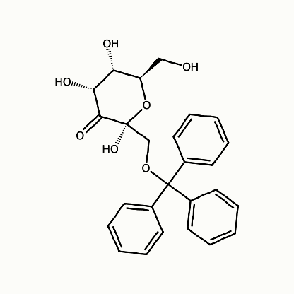 O=C1[C@H](O)[C@H](O)[C@@H](CO)O[C@@]1(O)COC(c1ccccc1)(c1ccccc1)c1ccccc1